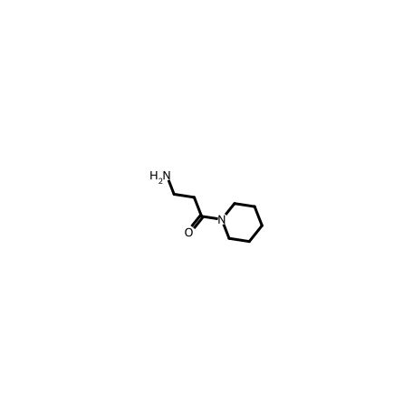 NCCC(=O)N1CCCCC1